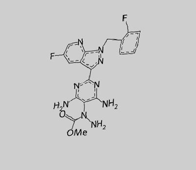 COC(=O)N(N)c1c(N)nc(-c2nn(Cc3ccccc3F)c3ncc(F)cc23)nc1N